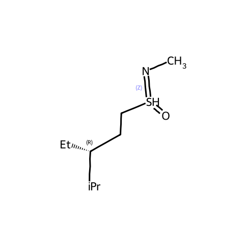 CC[C@H](CC/[SH](=O)=N/C)C(C)C